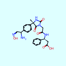 C[C@@]1(c2ccc(C(N)/C=N\O)cc2)NC(=O)N(CC(=O)N[C@@H](CC(=O)O)c2ccccc2)C1=O